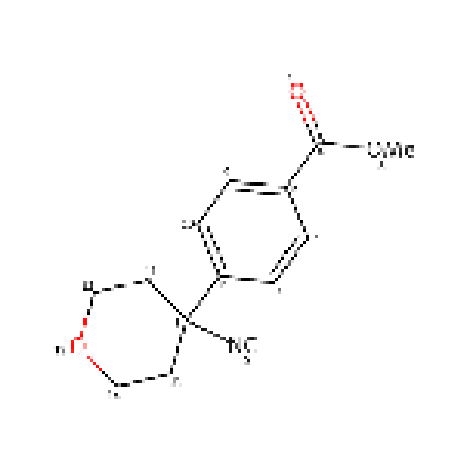 [C-]#[N+]C1(c2ccc(C(=O)OC)cc2)CCOCC1